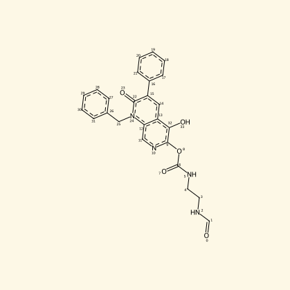 O=CNCCNC(=O)Oc1ncc2c(cc(-c3ccccc3)c(=O)n2Cc2ccccc2)c1O